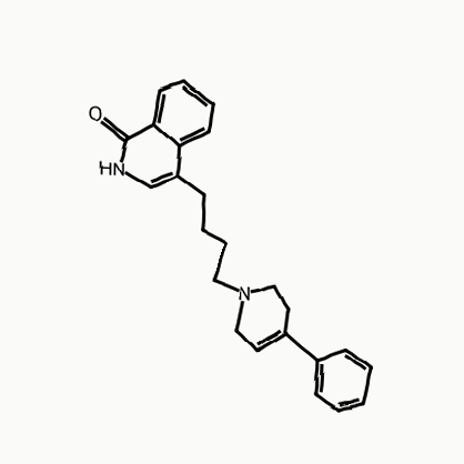 O=c1[nH]cc(CCCCN2CC=C(c3ccccc3)CC2)c2ccccc12